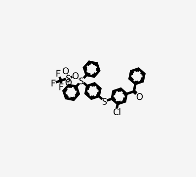 O=C(c1ccccc1)c1ccc(Sc2ccc(S(OS(=O)(=O)C(F)(F)F)(c3ccccc3)c3ccccc3)cc2)c(Cl)c1